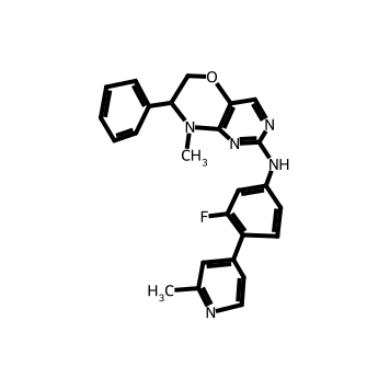 Cc1cc(-c2ccc(Nc3ncc4c(n3)N(C)C(c3ccccc3)CO4)cc2F)ccn1